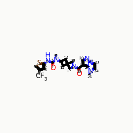 CN(C(=O)Nc1cc(C(F)(F)F)cs1)C1CC2(C1)CN(C(=O)c1cnn3ccn(C)c13)C2